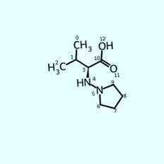 CC(C)[C@H](NN1CCCC1)C(=O)O